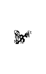 CCn1cc(-c2cc(N3CCOC[C@H]3C)nc3c(-c4ccn[nH]4)nccc23)cn1